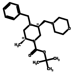 C[C@@H]1CN(Cc2ccccc2)[C@@H](CN2CCOCC2)CN1C(=O)OC(C)(C)C